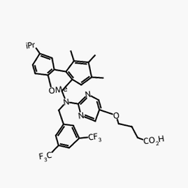 COc1ccc(C(C)C)cc1-c1c(CN(Cc2cc(C(F)(F)F)cc(C(F)(F)F)c2)c2ncc(OCCCC(=O)O)cn2)cc(C)c(C)c1C